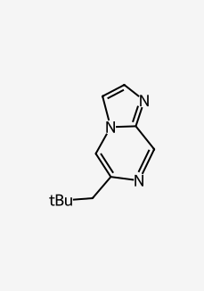 CC(C)(C)Cc1cn2ccnc2cn1